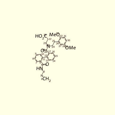 C=CCNC(=O)c1ccccc1-c1ccccc1C(=O)N(CCC(=O)O)CCc1cc(OC)ccc1OC